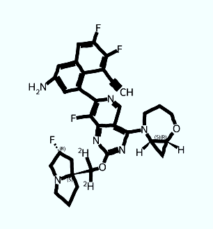 [2H]C([2H])(Oc1nc(N2CCCO[C@@H]3C[C@@H]32)c2cnc(-c3cc(N)cc4cc(F)c(F)c(C#C)c34)c(F)c2n1)[C@@]12CCCN1C[C@H](F)C2